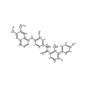 COc1cc2nccc(Oc3ccc(NC(=O)c4cnc(C)c(-c5ccc(F)cc5)c4O)cc3F)c2nc1OC